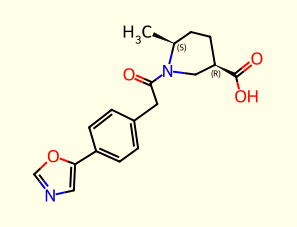 C[C@H]1CC[C@@H](C(=O)O)CN1C(=O)Cc1ccc(-c2cnco2)cc1